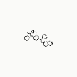 Cc1nc2ccccc2n1-c1ccc(-c2cc3ccc4ccccc4c3c3ccccc23)cc1